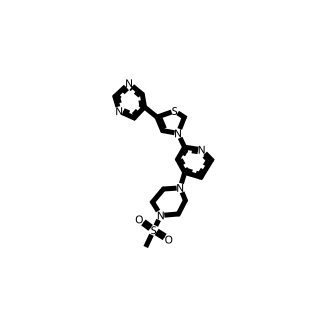 CS(=O)(=O)N1CCN(c2ccnc(N3C=C(c4cncnc4)SC3)c2)CC1